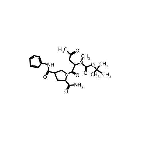 CC(=O)CC(C(=O)N1CC(C(=O)Nc2ccccc2)CC1C(N)=O)N(C)C(=O)OC(C)(C)C